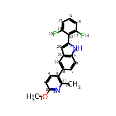 COc1ccc(-c2ccc3[nH]c(-c4c(F)cccc4F)cc3c2)c(C)n1